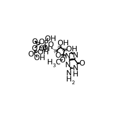 CO[C@@]1(n2cnc3c(=O)[nH]c(N)nc32)O[C@H](COP(=O)(O)OP(=O)(O)OP(=O)(O)O)[C@@H](O)[C@H]1O